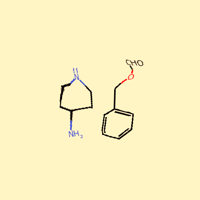 NC1CCNCC1.O=COCc1ccccc1